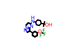 CC(C)(O)C1CCC(Nc2ccn3ncc(-c4cccc(OC(F)(F)F)c4)c3n2)CC1